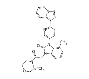 Cc1cccc2c1n(-c1ccc(-c3cnn4ccccc34)nc1)c(=O)n2CC(=O)N1CCOC[C@H]1C(F)(F)F